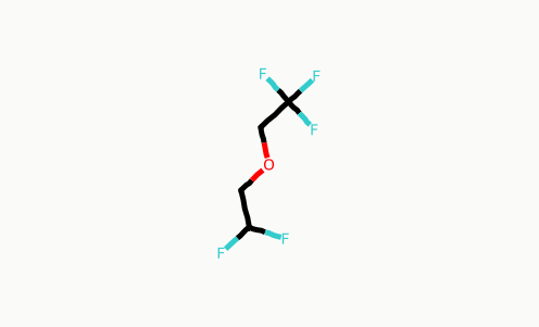 F[C](F)COCC(F)(F)F